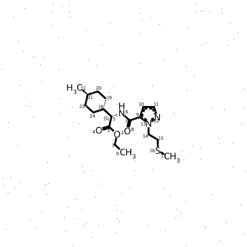 CCOC(=O)[C@@H](NC(=O)c1ccnn1CCSC)[C@H]1CC[C@H](C)CC1